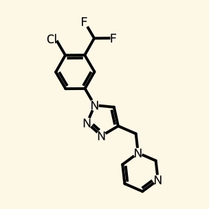 FC(F)c1cc(-n2cc(CN3C=CC=NC3)nn2)ccc1Cl